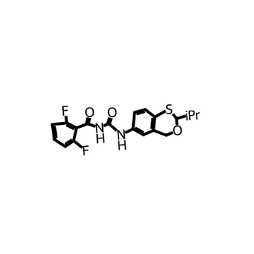 CC(C)C1OCc2cc(NC(=O)NC(=O)c3c(F)cccc3F)ccc2S1